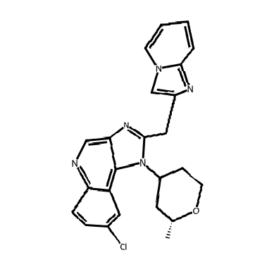 C[C@@H]1CC(n2c(Cc3cn4ccccc4n3)nc3cnc4ccc(Cl)cc4c32)CCO1